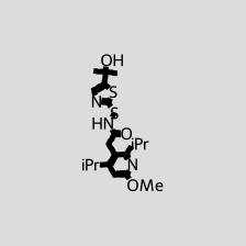 COc1cc(C(C)C)c(CC(=O)NSc2ncc(C(C)(C)O)s2)c(C(C)C)n1